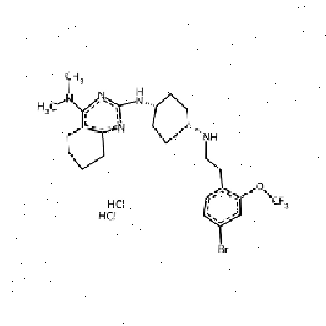 CN(C)c1nc(N[C@H]2CC[C@@H](NCCc3ccc(Br)cc3OC(F)(F)F)CC2)nc2c1CCCC2.Cl.Cl